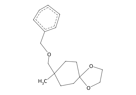 CC1(COCc2ccccc2)CCC2(CC1)OCCO2